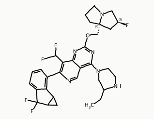 CCC1CN(c2nc(OC[C@]34CCCN3C[C@@H](F)C4)nc3c(C(F)F)c(-c4cccc5c4C4CC4C5(F)F)ncc23)CCN1